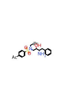 CC(=O)c1ccc(S(=O)(=O)N(CC(C)C)C[C@@H](O)[C@@H](N)Cc2ccccc2)cc1